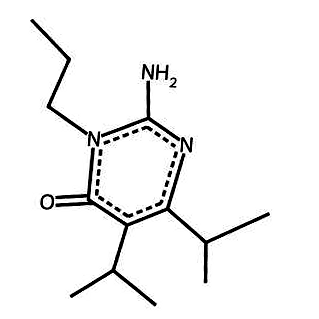 CCCn1c(N)nc(C(C)C)c(C(C)C)c1=O